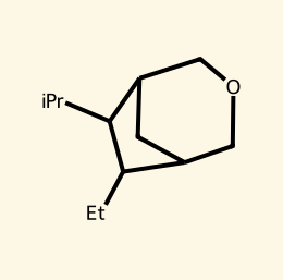 CCC1C2COCC(C2)C1C(C)C